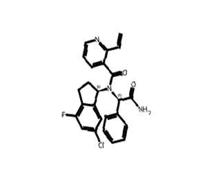 C=Cc1ncccc1C(=O)N([C@@H]1CCc2c(F)cc(Cl)cc21)[C@@H](C(N)=O)c1ccccc1